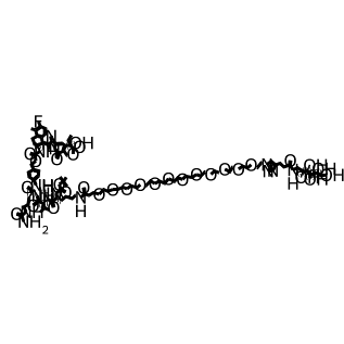 CC[C@@]1(O)C(=O)OCc2c1cc1n(c2=O)Cc2c-1nc1cc(F)c(C)c3c1c2[C@@H](NC(=O)OCc1ccc(NC(=O)[C@H](CCCNC(N)=O)NC(=O)[C@@H](NC(=O)[C@H](CCCCNC(=O)CCOCCOCCOCCOCCOCCOCCOCCOCCOCCOCCOCCOCCn2cc(CCC(=O)NC[C@H](O)[C@@H](O)[C@H](O)[C@H](O)CO)nn2)NC(=O)OC(C)(C)C)C(C)C)cc1)CC3